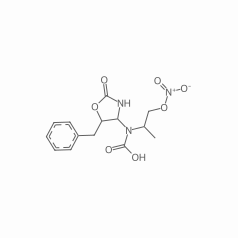 CC(CO[N+](=O)[O-])N(C(=O)O)C1NC(=O)OC1Cc1ccccc1